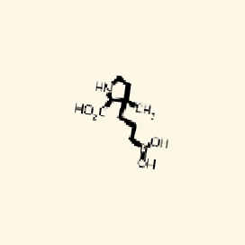 CC1(CCCB(O)O)CCNC1C(=O)O